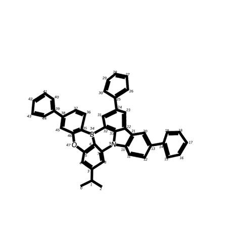 CC(C)c1cc2c3c(c1)-n1c4ccc(-c5ccccc5)cc4c4cc(-c5ccccc5)cc(c41)B3c1ccc(-c3ccccc3)cc1O2